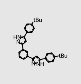 CC(C)(C)c1ccc(-c2cc(-c3cccc(-c4cc(-c5ccc(C(C)(C)C)cc5)[nH]n4)c3)n[nH]2)cc1